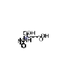 O=C(O)CCCCCC/C(=N\Nc1nncc2ccccc12)C(=O)O